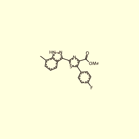 COC(=O)c1nc(-c2n[nH]c3c(C)cccc23)sc1-c1ccc(F)cc1